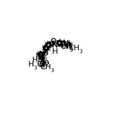 CN1CCN(Cc2ccc(NC(=O)N3CCc4ccc(Oc5ccnc6[nH]c(C(=O)N(C)C)cc56)cc4C3)cc2C(F)(F)F)CC1